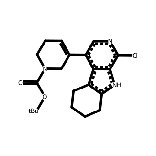 CC(C)(C)OC(=O)N1CCC=C(c2cnc(Cl)c3[nH]c4c(c23)CCCC4)C1